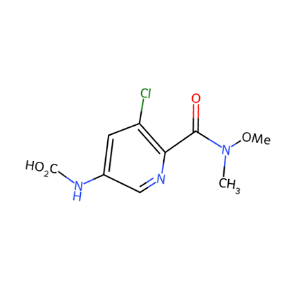 CON(C)C(=O)c1ncc(NC(=O)O)cc1Cl